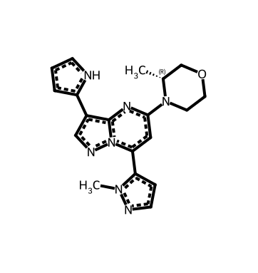 C[C@@H]1COCCN1c1cc(-c2ccnn2C)n2ncc(-c3ccc[nH]3)c2n1